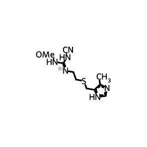 CON/C(=N/CCSCc1[nH]cnc1C)NC#N